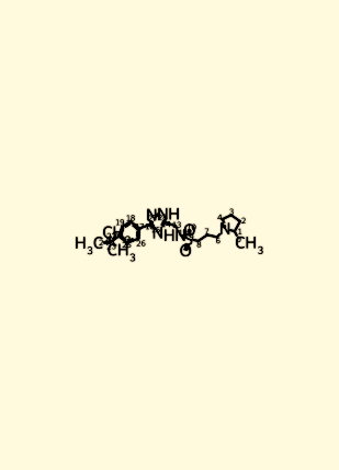 CC1CCCN1CCCS(=O)(=O)NCc1nc(-c2ccc(C(C)(C)C)cc2)n[nH]1